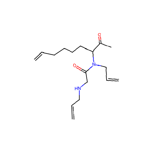 C=CCCCCC(C(C)=O)N(CC=C)C(=O)CNCC=C